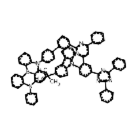 CC(C)(C)c1ccc2c(c1)c1ccccc1n2-c1ccc(-c2nc(-c3ccccc3)nc(-c3ccccc3)n2)cc1-c1cc(-c2ccccc2)nc(-c2cccc(-c3ccc(N4c5ccccc5B5c6ccccc6N(c6ccccc6)c6cccc4c65)cc3)c2)n1